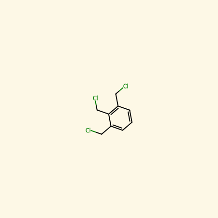 ClCc1cccc(CCl)c1CCl